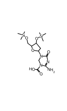 C[Si](C)(C)OCC1OC(N2CN(C(=O)O)C(N)=NC2=O)CC1O[Si](C)(C)C